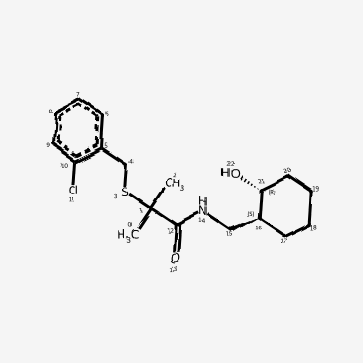 CC(C)(SCc1ccccc1Cl)C(=O)NC[C@@H]1CCCC[C@H]1O